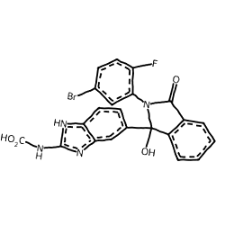 O=C(O)Nc1nc2cc(C3(O)c4ccccc4C(=O)N3c3cc(Br)ccc3F)ccc2[nH]1